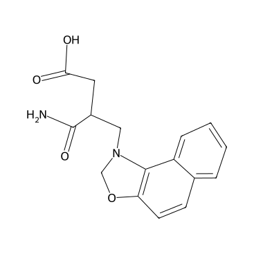 NC(=O)C(CC(=O)O)CN1COc2ccc3ccccc3c21